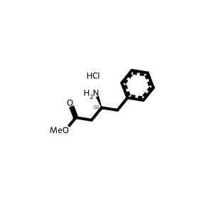 COC(=O)C[C@@H](N)Cc1ccccc1.Cl